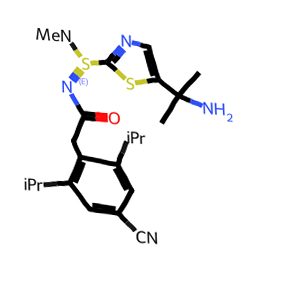 CN/S(=N/C(=O)Cc1c(C(C)C)cc(C#N)cc1C(C)C)c1ncc(C(C)(C)N)s1